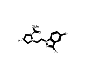 COC(=O)[C@@H]1C[C@@H](F)CN1CCn1nc(C(C)=O)c2cc(Br)ccc21